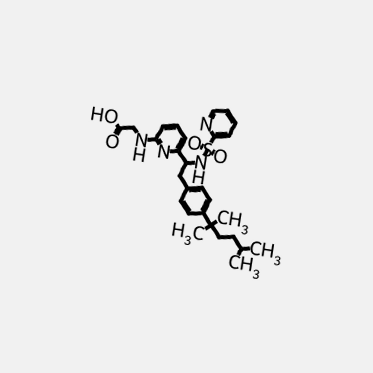 CC(C)CCC(C)(C)c1ccc(CC(NS(=O)(=O)c2ccccn2)c2cccc(NCC(=O)O)n2)cc1